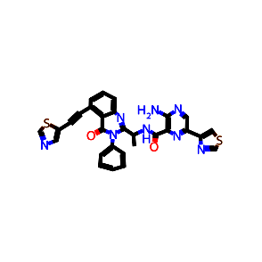 CC(NC(=O)c1nc(-c2cscn2)cnc1N)c1nc2cccc(C#Cc3cncs3)c2c(=O)n1-c1ccccc1